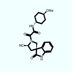 CO[C@H]1CC[C@H](NC(=O)C(=O)N2C[C@]3(C[C@H]2C#N)C(=O)Nc2ccccc23)CC1